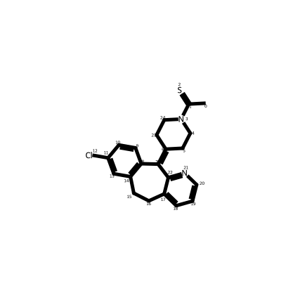 CC(=S)N1CCC(=C2c3ccc(Cl)cc3CCc3cccnc32)CC1